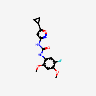 COc1cc(OC)c(NC(=O)Nc2cc(C3CC3)on2)cc1F